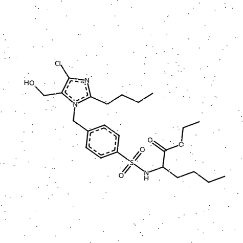 CCCCc1nc(Cl)c(CO)n1Cc1ccc(S(=O)(=O)NC(CCCC)C(=O)OCC)cc1